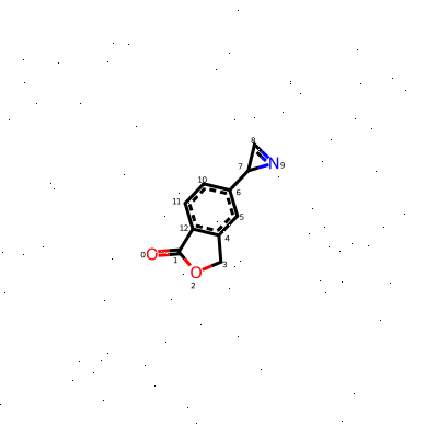 O=C1OCc2cc(C3C=N3)ccc21